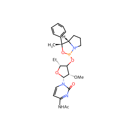 CC[C@H]1O[C@@H](n2ccc(NC(C)=O)nc2=O)[C@@H](OC)C1O[P@@]1O[C@](C)(c2ccccc2)[C@@H]2CCCN21